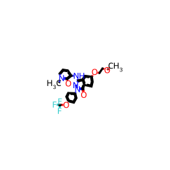 COCCOc1ccc2c(=O)n(-c3ccc(OC(F)(F)F)cc3)nc(Nc3cccn(C)c3=O)c2c1